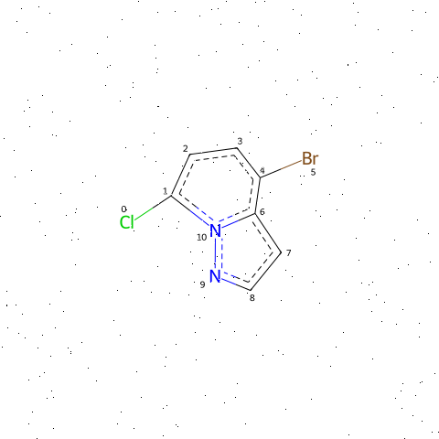 Clc1ccc(Br)c2ccnn12